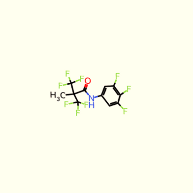 CC(C(=O)Nc1cc(F)c(F)c(F)c1)(C(F)(F)F)C(F)(F)F